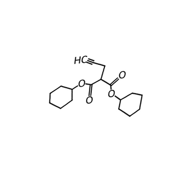 C#CCC(C(=O)OC1CCCCC1)C(=O)OC1CCCCC1